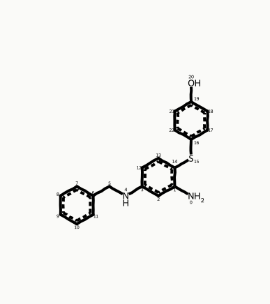 Nc1cc(NCc2ccccc2)ccc1Sc1ccc(O)cc1